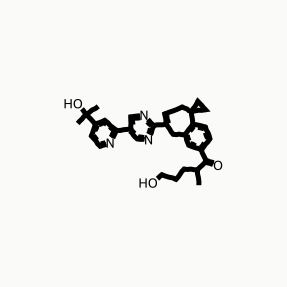 CC(CCCO)C(=O)c1ccc2c(c1)CC(c1ncc(-c3cc(C(C)(C)O)ccn3)cn1)=CCC21CC1